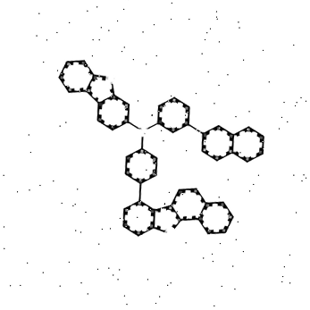 c1cc(-c2ccc3ccccc3c2)cc(N(c2ccc(-c3cccc4oc5c6ccccc6ccc5c34)cc2)c2ccc3c(c2)oc2ccccc23)c1